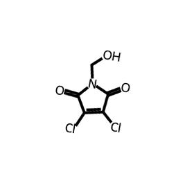 O=C1C(Cl)=C(Cl)C(=O)N1CO